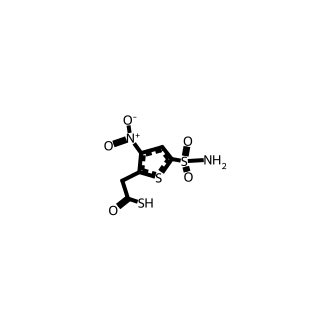 NS(=O)(=O)c1cc([N+](=O)[O-])c(CC(=O)S)s1